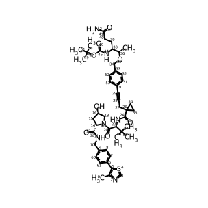 Cc1ncsc1-c1ccc(CNC(=O)[C@@H]2C[C@@H](O)CN2C(=O)[C@@H](NC(=O)C2(CC#Cc3ccc(CO[C@H](C)[C@H](CCC(N)=O)NC(=O)OC(C)(C)C)cc3)CC2)C(C)(C)C)cc1